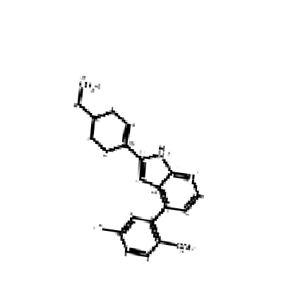 COc1ccc(F)cc1-c1ccnc2[nH]c(C3=CCC(CC(=O)O)CC3)cc12